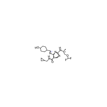 C[C@@H](COC(F)F)Nc1ncc(C(=O)NCC2CC2)c(/N=C/C2CCC(O)CC2)n1